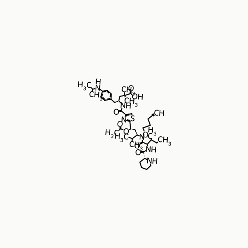 C#CCCCON(C(=O)C(NC(=O)[C@H]1CCCCN1)[C@@H](C)CC)[C@H](C[C@@H](OC(C)=O)c1nc(C(=O)N[C@@H](Cc2ccc(NC(C)C)cc2)CC(C)(C)C(=O)O)cs1)C(C)C